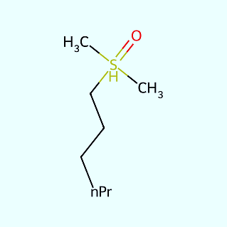 CCCCCC[SH](C)(C)=O